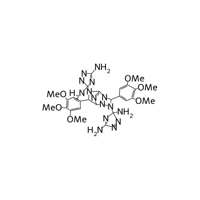 COc1cc(C2C3N=C(N4C(c5cc(OC)c(OC)c(OC)c5)N(C5(N)N=NC(N)=N5)N34)N2C2(N)N=NC(N)=N2)cc(OC)c1OC